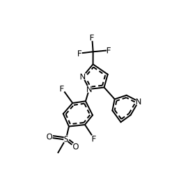 CS(=O)(=O)c1cc(F)c(-n2nc(C(F)(F)F)cc2-c2cccnc2)cc1F